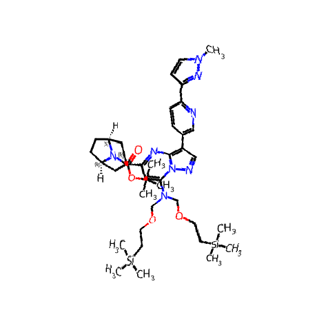 Cn1ccc(-c2ccc(-c3cnn4c(N(COCC[Si](C)(C)C)COCC[Si](C)(C)C)cc([C@H]5C[C@H]6CC[C@@H](C5)N6C(=O)OC(C)(C)C)nc34)cn2)n1